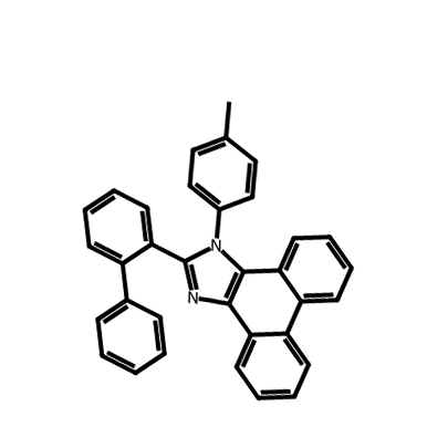 Cc1ccc(-n2c(-c3ccccc3-c3ccccc3)nc3c4ccccc4c4ccccc4c32)cc1